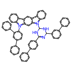 c1ccc(-c2ccc(C3=NC(c4cccc(-c5ccccc5)c4)NC(n4c5ccccc5c5cc6c7ccccc7n(-c7ccc(-c8ccccc8)cc7-c7ccccc7)c6cc54)N3)cc2)cc1